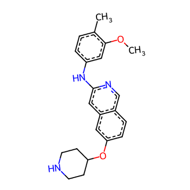 COc1cc(Nc2cc3cc(OC4CCNCC4)ccc3cn2)ccc1C